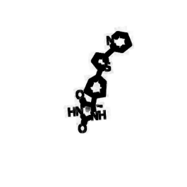 C[C@]1(c2ccc(-c3ccc(-c4ccccn4)s3)cc2)NC(=O)NC1=O